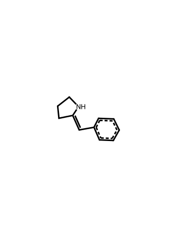 C(=C1CCCN1)c1ccccc1